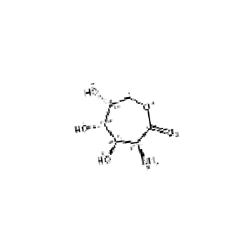 N[C@@H]1C(=O)OC[C@@H](O)[C@@H](O)[C@@H]1O